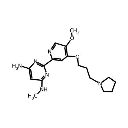 CNc1cc(N)nc(-c2cc(OCCCN3CCCC3)c(OC)cn2)n1